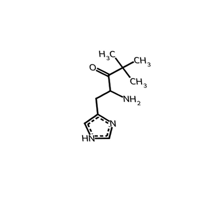 CC(C)(C)C(=O)C(N)Cc1c[nH]cn1